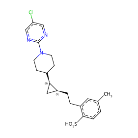 Cc1ccc(S(=O)(=O)O)c(CC[C@H]2C[C@H]2C2CCN(c3ncc(Cl)cn3)CC2)c1